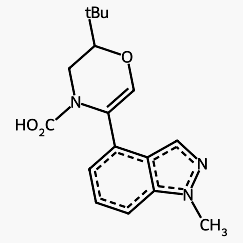 Cn1ncc2c(C3=COC(C(C)(C)C)CN3C(=O)O)cccc21